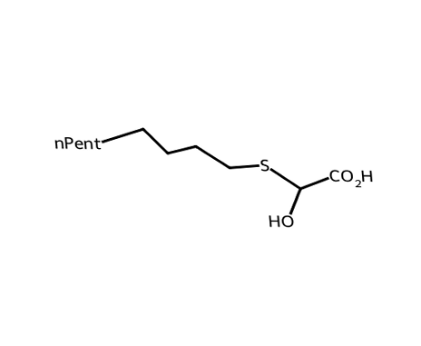 CCCCCCCCCSC(O)C(=O)O